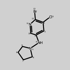 Clc1cc(NN2CCCC2)cnc1Br